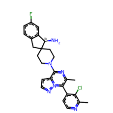 Cc1nccc(-c2c(C)nc(N3CCC4(CC3)Cc3ccc(F)cc3[C@H]4N)c3ccnn23)c1Cl